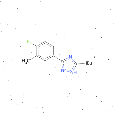 CCC(C)c1nc(-c2ccc(F)c(C)c2)n[nH]1